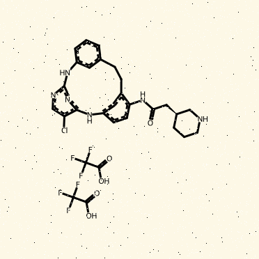 O=C(C[C@@H]1CCCNC1)Nc1ccc2cc1CCc1cccc(c1)Nc1ncc(Cl)c(n1)N2.O=C(O)C(F)(F)F.O=C(O)C(F)(F)F